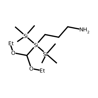 CCOC(OCC)[Si](CCCN)([Si](C)(C)C)[Si](C)(C)C